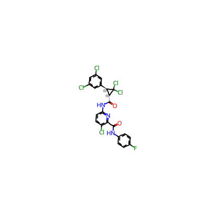 O=C(Nc1ccc(F)cc1)c1nc(NC(=O)[C@@H]2[C@@H](c3cc(Cl)cc(Cl)c3)C2(Cl)Cl)ccc1Cl